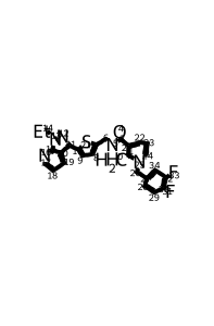 C=C1C(C(=O)NCc2ccc(-c3nn(CC)c4ncccc34)s2)=CC=CN1Cc1ccc(F)c(F)c1